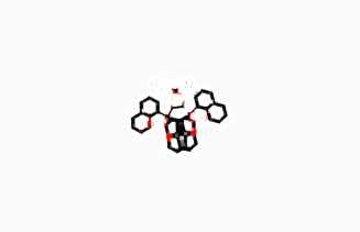 CC1(C)OC(C(O)(c2cccc3ccccc23)c2cccc3ccccc23)[C@H](C(O)(c2cccc3ccccc23)c2cccc3ccccc23)O1